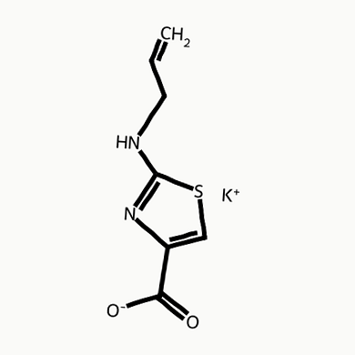 C=CCNc1nc(C(=O)[O-])cs1.[K+]